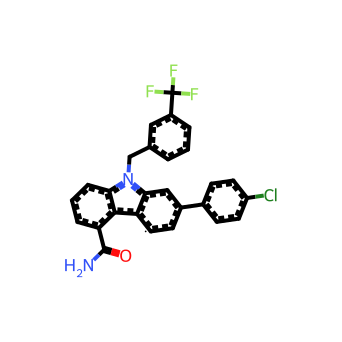 NC(=O)c1cccc2c1c1[c]cc(-c3ccc(Cl)cc3)cc1n2Cc1cccc(C(F)(F)F)c1